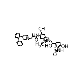 C#Cc1cc(CNC[C@H](O)c2ccc(O)c3[nH]c(=O)sc23)c(OC)cc1NC(=O)CCN1CCC(c2ccccc2-c2ccccc2)CC1